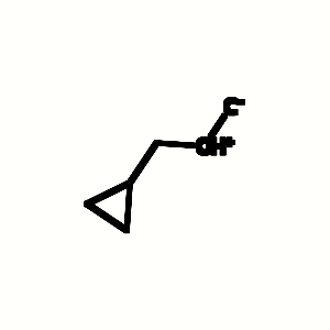 [CH2-][OH+]CC1CC1